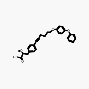 COC(Cc1ccc(C#CCCCCOc2ccc(Oc3ccccc3)cc2)cc1)C(=O)O